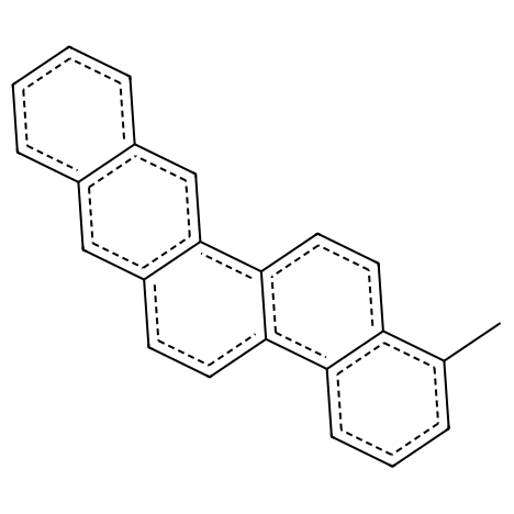 Cc1cccc2c1ccc1c3cc4ccccc4cc3ccc21